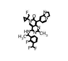 Cc1nc(NC(C)c2cccc(C(F)F)c2F)c2cn(C3(CF)CC3)c(=O)c(C3=CC4=NCCN4C=C3)c2n1